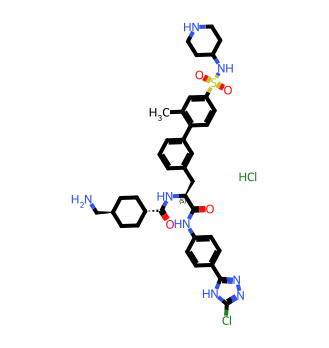 Cc1cc(S(=O)(=O)NC2CCNCC2)ccc1-c1cccc(C[C@H](NC(=O)[C@H]2CC[C@H](CN)CC2)C(=O)Nc2ccc(-c3nnc(Cl)[nH]3)cc2)c1.Cl